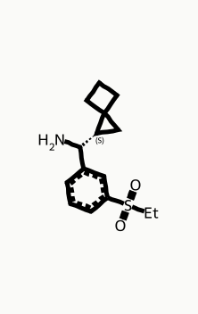 CCS(=O)(=O)c1cccc(C(N)[C@H]2CC23CCC3)c1